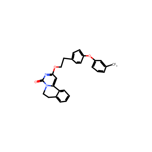 O=c1nc(OCCc2ccc(Oc3cccc(C(F)(F)F)c3)cc2)cc2n1CCc1ccccc1-2